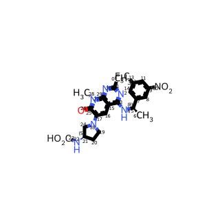 Cc1nc(N[C@H](C)c2cc([N+](=O)[O-])cc(C(F)(F)F)c2)c2cc(N3CC[C@H](NC(=O)O)C3)c(=O)n(C)c2n1